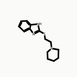 c1ccc2[nH]c(SCCN3CCCCC3)nc2c1